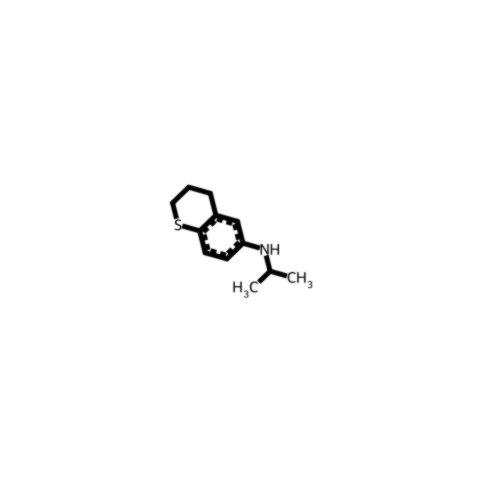 CC(C)Nc1ccc2c(c1)CCCS2